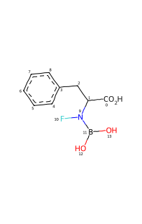 O=C(O)C(Cc1ccccc1)N(F)B(O)O